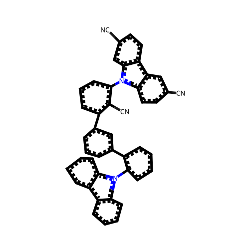 N#Cc1ccc2c(c1)c1ccc(C#N)cc1n2-c1cccc(-c2cccc(-c3ccccc3-n3c4ccccc4c4ccccc43)c2)c1C#N